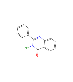 O=c1c2ccccc2nc(-c2ccccc2)n1Cl